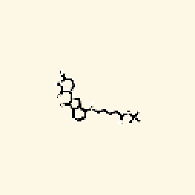 CC(C)(C)OC(=O)CCCCNc1cccc2c1CN(C1CCC(=O)NC1=O)C2=O